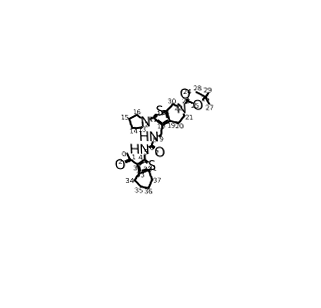 CC(=O)c1c(NC(=O)NCc2c(N3CCCC3)sc3c2CCN(C(=O)OC(C)(C)C)C3)sc2c1CCCC2